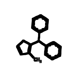 CC1=C(C(c2ccccc2)c2ccccc2)CC=C1